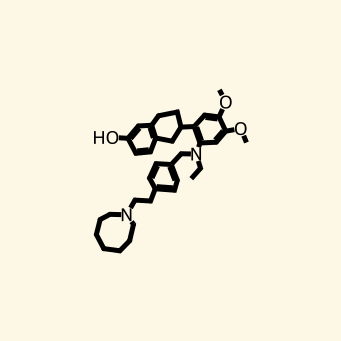 CCN(Cc1ccc(CCN2CCCCCCC2)cc1)c1cc(OC)c(OC)cc1C1CCc2cc(O)ccc2C1